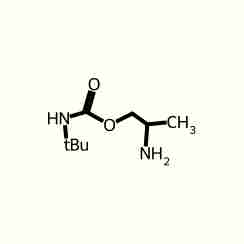 CC(N)COC(=O)NC(C)(C)C